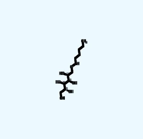 CCCCCNOC[C@H](O)[C@@H](O)[C@H](O)[C@H](O)CO